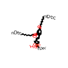 CCCCCCCCCCCCCCCCCCOc1ccc(C=Cc2ccc(S(=O)(=O)C(O)CCCCCCCCCCC)cc2)c(OCCCCCCCCCCCCCCCCCC)c1